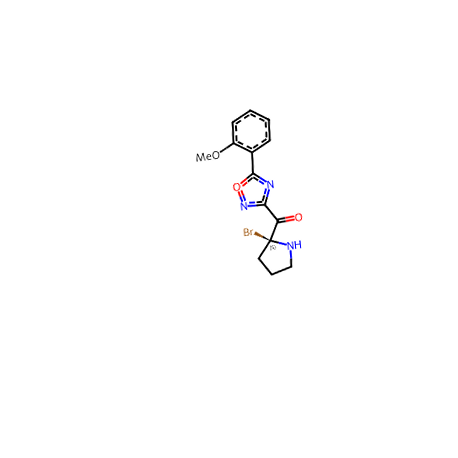 COc1ccccc1-c1nc(C(=O)[C@@]2(Br)CCCN2)no1